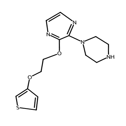 c1cnc(N2CCNCC2)c(OCCOc2ccsc2)n1